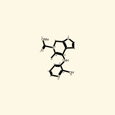 COC(=O)N1Cc2sccc2C(Nc2cccnc2O)=C1C